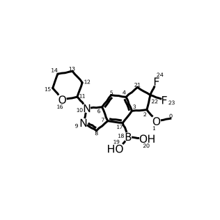 COC1c2c(cc3c(cnn3C3CCCCO3)c2B(O)O)CC1(F)F